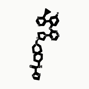 O=C(NC1CCC2(CC1)CCN(C[C@@H]1CCN(c3ncnnc3Oc3ccc(F)cc3-c3cncnc3C3CC3)C1)CC2)c1nccs1